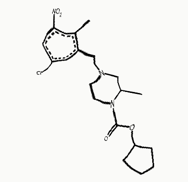 Cc1c(CN2CCN(C(=O)OC3CCCC3)C(C)C2)cc(Cl)cc1[N+](=O)[O-]